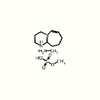 C1=CN2CCCNC2CCC1.CN.COS(=O)(=O)O